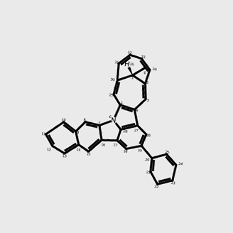 C[C@@H]1C2=Cc3c(n4c5cc6ccccc6cc5c5cc(-c6ccccc6)cc3c54)C=C1C=CC=C2